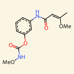 CONC(=O)Oc1cccc(NC(=O)/C=C(/C)OC)c1